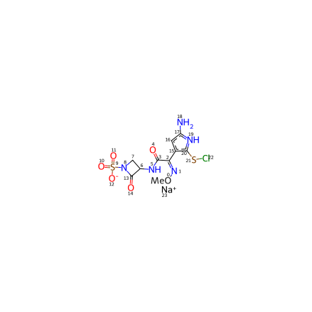 CON=C(C(=O)NC1CN(S(=O)(=O)[O-])C1=O)c1cc(N)[nH]c1SCl.[Na+]